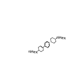 CCCCCCC1CC=C(c2ccc([C@H]3CC[C@H](CCCCCC)CC3)cc2)CC1